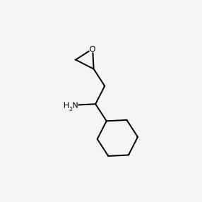 NC(CC1CO1)C1CCCCC1